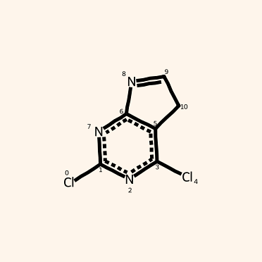 Clc1nc(Cl)c2c(n1)N=CC2